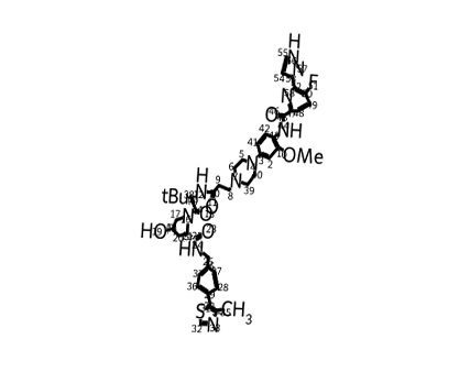 COc1cc(N2CCN(CCC(=O)N[C@H](C(=O)N3C[C@H](O)C[C@H]3C(=O)NCc3ccc(-c4scnc4C)cc3)C(C)(C)C)CC2)ccc1NC(=O)c1ccc(F)c(-c2cc[nH]n2)n1